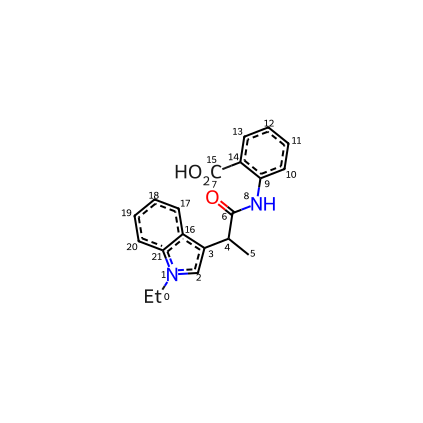 CCn1cc(C(C)C(=O)Nc2ccccc2C(=O)O)c2ccccc21